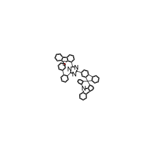 c1ccc(-c2ccccc2-c2nc(-c3ccc4c(c3)C3(c5ccccc5-4)c4ccccc4-n4c5ccccc5c5cccc3c54)nc(-c3cccc4c3sc3ccccc34)n2)cc1